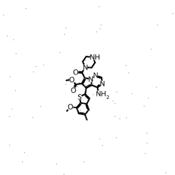 COC(=O)c1c(-c2cc3cc(C)cc(OC)c3s2)c2c(N)ncnn2c1C(=O)N1CCNCC1